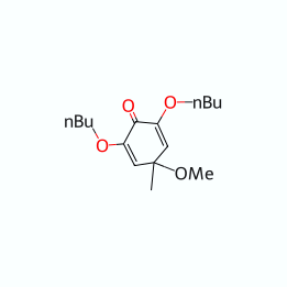 CCCCOC1=CC(C)(OC)C=C(OCCCC)C1=O